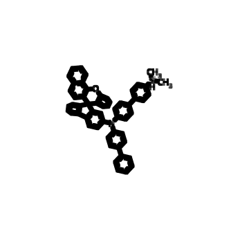 C[SiH](C)c1ccc(-c2ccc(N(c3ccc(-c4ccccc4)cc3)c3ccc4c(c3)C3(c5ccccc5Oc5c3ccc3ccccc53)c3ccccc3-4)cc2)cc1